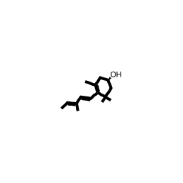 C/C=C(C)/C=C/C1=C(C)C[C@@H](O)CC1(C)C